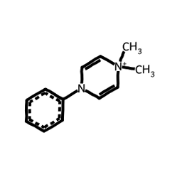 C[N+]1(C)C=CN(c2ccccc2)C=C1